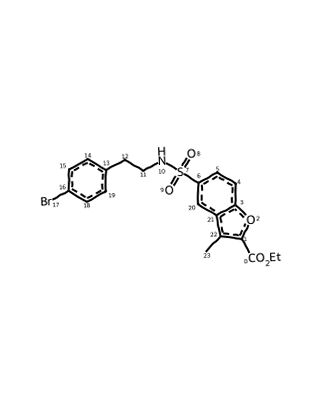 CCOC(=O)c1oc2ccc(S(=O)(=O)NCCc3ccc(Br)cc3)cc2c1C